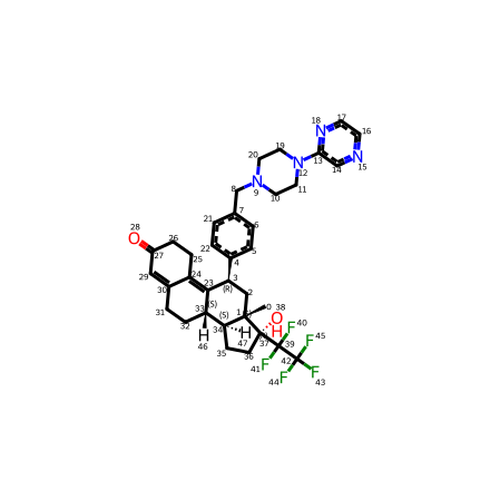 C[C@]12C[C@H](c3ccc(CN4CCN(c5cnccn5)CC4)cc3)C3=C4CCC(=O)C=C4CC[C@H]3[C@@H]1CC[C@]2(O)C(F)(F)C(F)(F)F